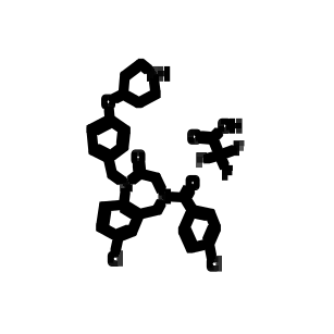 O=C(O)C(F)(F)F.O=C(c1ccc(Cl)cc1)N1CC(=O)N(Cc2ccc(OC3CCNCC3)cc2)c2ccc(Cl)cc2C1